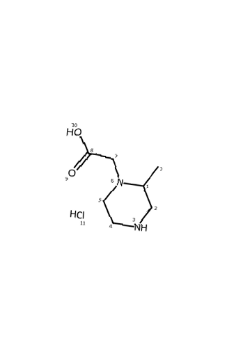 CC1CNCCN1CC(=O)O.Cl